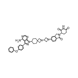 Nc1ncnc2c1c(-c1ccc(Oc3ccccc3)cc1)nn2C1CCC2(CC1)CN(C1CN(c3ccc4c(c3)CN(C3CCC(=O)NC3=O)C4=O)C1)C2